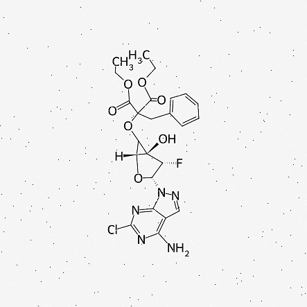 CCOC(=O)C(Cc1ccccc1)(OC1[C@H]2O[C@@H](n3ncc4c(N)nc(Cl)nc43)[C@@H](F)[C@@]12O)C(=O)OCC